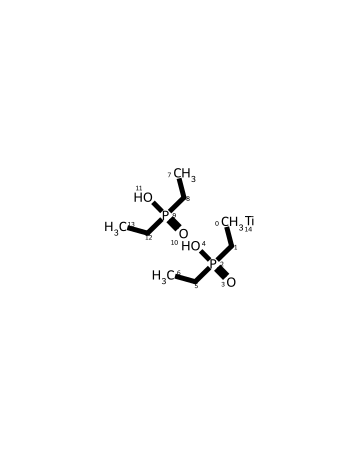 CCP(=O)(O)CC.CCP(=O)(O)CC.[Ti]